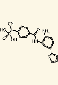 N#CC(c1ccc(C(=O)Nc2cc(-c3cccs3)ccc2N)cc1)P(=O)(O)O